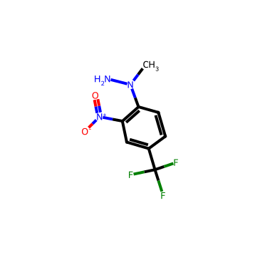 CN(N)c1ccc(C(F)(F)F)cc1[N+](=O)[O-]